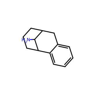 NC1C2CCCC1c1ccccc1C2